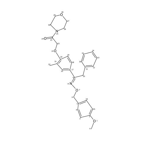 COc1ccc(CO/N=C(\Cc2ccccc2)c2ccc(OCC(=O)N3CCOCC3)c(C)c2)cc1